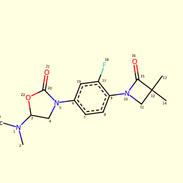 CC(=O)N(C)C1CN(c2ccc(N3CC(C)(C)C3=O)c(F)c2)C(=O)O1